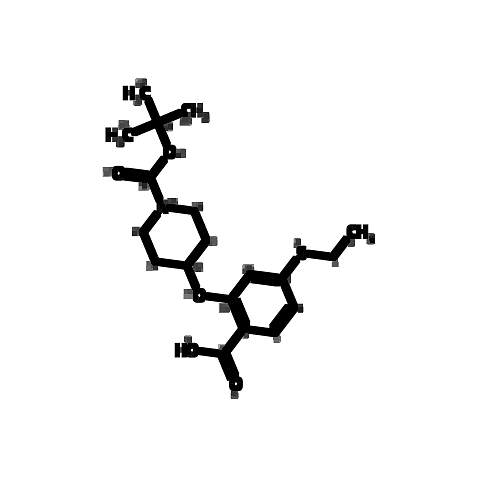 CCSc1ccc(C(=O)O)c(OC2CCN(C(=O)OC(C)(C)C)CC2)c1